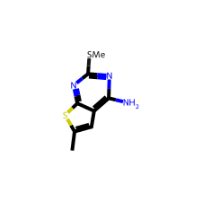 CSc1nc(N)c2cc(C)sc2n1